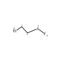 CCCCSF